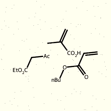 C=C(C)C(=O)O.C=CC(=O)OCCCC.CCOC(=O)CC(C)=O